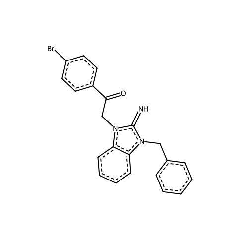 N=c1n(CC(=O)c2ccc(Br)cc2)c2ccccc2n1Cc1ccccc1